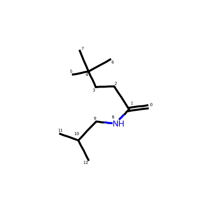 C=C(CCC(C)(C)C)NCC(C)C